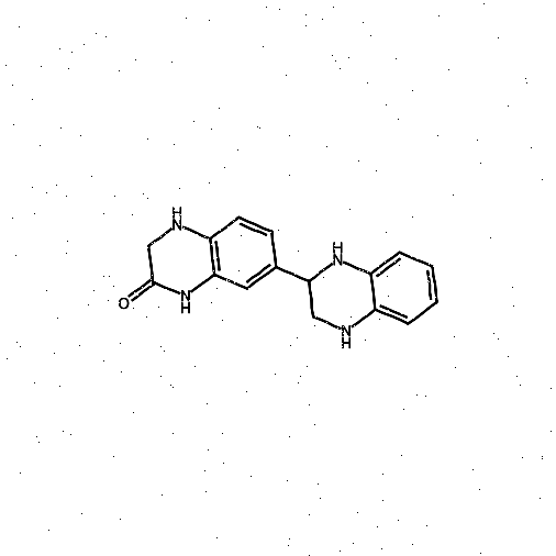 O=C1CNc2ccc(C3CNc4ccccc4N3)cc2N1